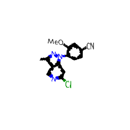 COc1cc(C#N)ccc1-n1nc(C)c2cnc(Cl)cc21